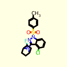 Cc1ccc(S(=O)(=O)n2nc(N3C4CCC3C(F)C4)c3c(Cl)cccc32)cc1